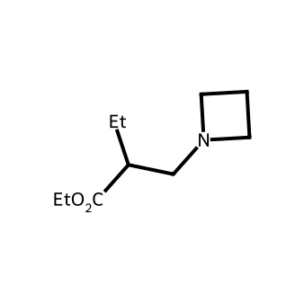 CCOC(=O)C(CC)CN1CCC1